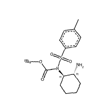 Cc1ccc(S(=O)(=O)N(C(=O)OC(C)(C)C)[C@@H]2CCCC[C@H]2N)cc1